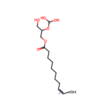 CCCCCCCC/C=C\CCCCCCCC(=O)OCC(CO)OB(O)O